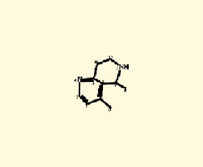 Cc1ccnc2c1C(C)NCC2